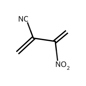 C=C(C#N)C(=C)[N+](=O)[O-]